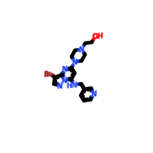 OCCN1CCN(c2cc(NCc3cccnc3)n3ncc(Br)c3n2)CC1